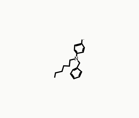 [CH2]c1ccc(N(CCCCCC)Cc2ccccc2)cc1